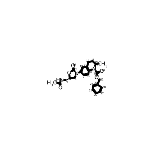 CC(=O)NC[C@H]1CN(c2ccc3c(c2)CCC(C)N3C(=O)OCc2ccccc2)C(=O)O1